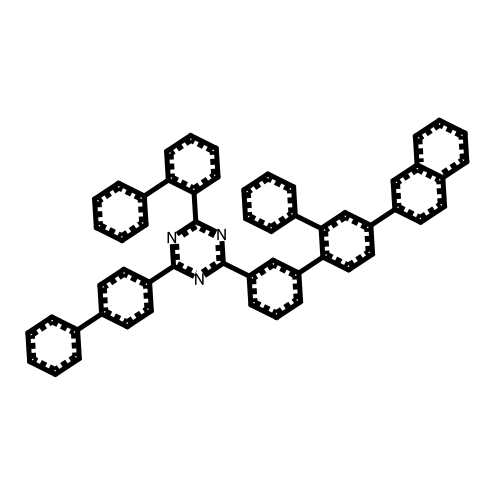 c1ccc(-c2ccc(-c3nc(-c4cccc(-c5ccc(-c6ccc7ccccc7c6)cc5-c5ccccc5)c4)nc(-c4ccccc4-c4ccccc4)n3)cc2)cc1